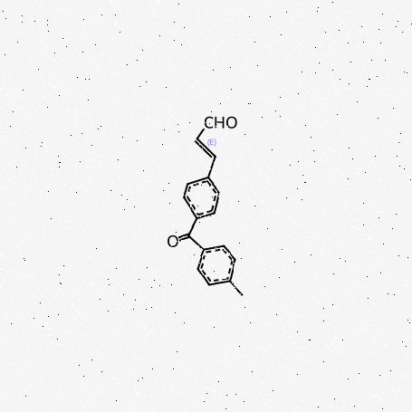 Cc1ccc(C(=O)c2ccc(/C=C/C=O)cc2)cc1